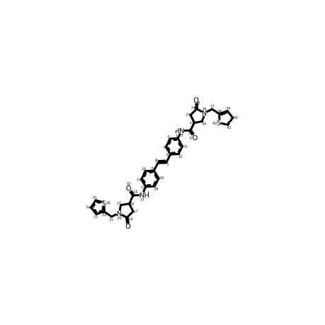 O=C(Nc1ccc(/C=C/c2ccc(NC(=O)C3CC(=O)N(Cc4cccs4)C3)cc2)cc1)C1CC(=O)N(CC2=CCCS2)C1